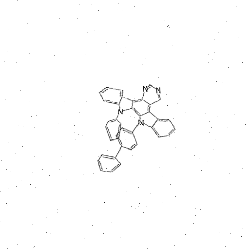 c1ccc(-c2ccc(-n3c4ccccc4c4c5cncnc5c5c6ccccc6n(-c6ccccc6)c5c43)cc2)cc1